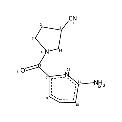 N#CC1CCN(C(=O)c2cccc(N)n2)C1